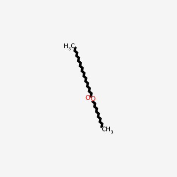 CCCCCCCCCCCCCCCCCCCCC(=O)OCCCCCCCCCCCC